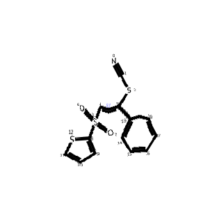 N#CS/C(=C/S(=O)(=O)c1cccs1)c1ccccc1